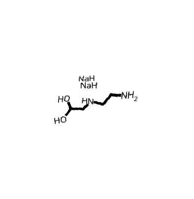 NCCNCC(O)O.[NaH].[NaH]